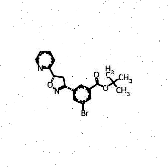 CC(C)(C)OC(=O)c1cc(Br)cc(C2=NOC(c3ccccn3)C2)c1